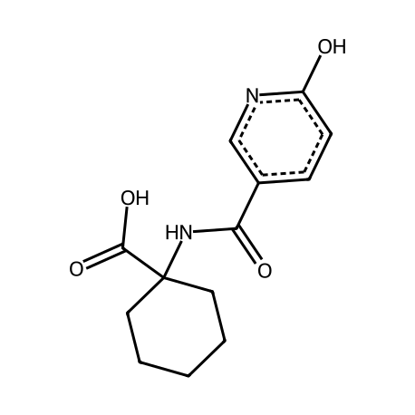 O=C(NC1(C(=O)O)CCCCC1)c1ccc(O)nc1